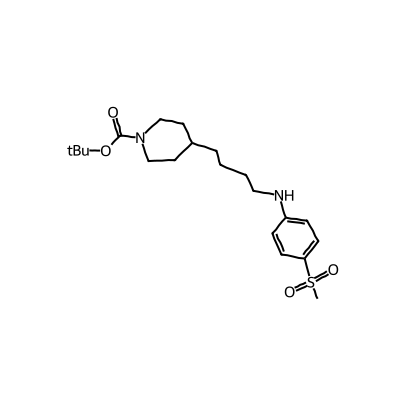 CC(C)(C)OC(=O)N1CCC(CCCCNc2ccc(S(C)(=O)=O)cc2)CC1